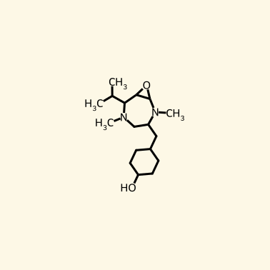 CC(C)C1C2OC2N(C)C(CC2CCC(O)CC2)CN1C